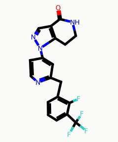 O=C1NCCc2c1cnn2-c1ccnc(Cc2cccc(C(F)(F)F)c2F)c1